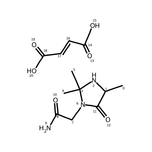 CC1NC(C)(C)N(CC(N)=O)C1=O.O=C(O)C=CC(=O)O